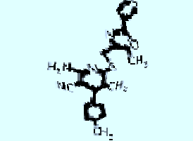 Cc1ccc(-c2c(C)c(SCc3nc(-c4ccsc4)oc3C)nc(N)c2C#N)cc1